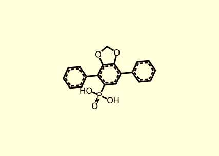 O=P(O)(O)c1cc(-c2ccccc2)c2c(c1-c1ccccc1)OCO2